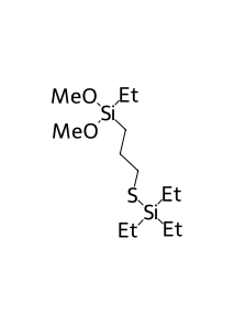 CC[Si](CCCS[Si](CC)(CC)CC)(OC)OC